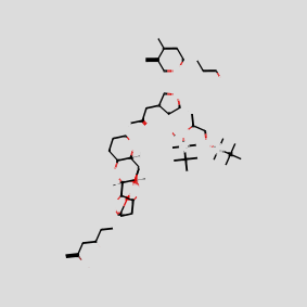 C=C(Br)C[C@H](O)CC[C@@]12CC3O[C@H]4C(O1)[C@H]1O[C@@H](CC(=O)CC5[C@H](C[C@H]6O[C@@H](CCCO)CC(C)C6=C)O[C@H](CC(CO[Si](C)(C)C(C)(C)C)O[Si](C)(C)C(C)(C)C)[C@@H]5OC)CCC1O[C@H]4C3O2